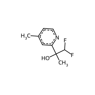 Cc1ccnc(C(C)(O)C(F)F)c1